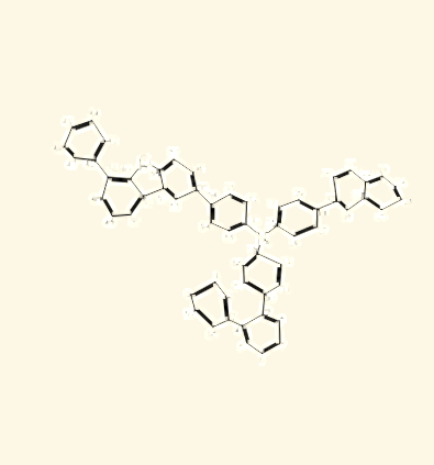 c1ccc(-c2ccccc2-c2ccc(N(c3ccc(-c4ccc5ccccc5c4)cc3)c3ccc(-c4ccc5oc6c(-c7ccccc7)cccc6c5c4)cc3)cc2)cc1